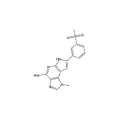 CNc1nc2[nH]c(-c3cccc(S(C)(=O)=O)c3)cc2c2c1ncn2C